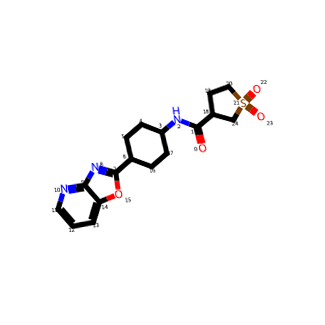 O=C(NC1CCC(c2nc3ncccc3o2)CC1)C1CCS(=O)(=O)C1